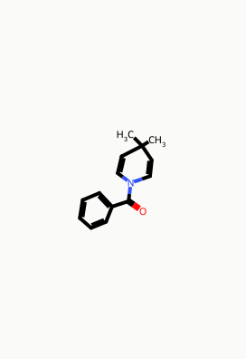 CC1(C)C=CN(C(=O)c2ccccc2)C=C1